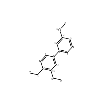 CCc1ccc(-c2cc[c]c(OC)c2)cc1CC